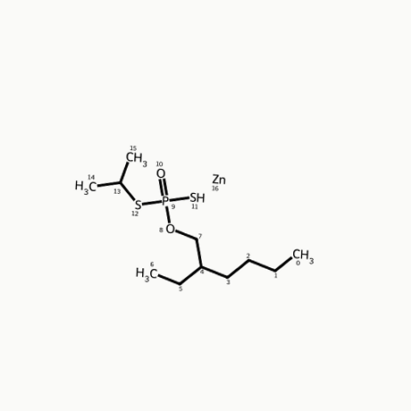 CCCCC(CC)COP(=O)(S)SC(C)C.[Zn]